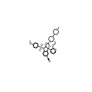 CCOc1ncccc1C1(OC(=O)N2CCC(C3CCN(C)CC3)CC2)C(=O)N(S(=O)(=O)c2ccc(OC)cc2)c2ccc(C#N)cc21